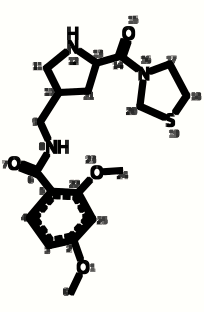 COc1ccc(C(=O)NCC2CNC(C(=O)N3CCSC3)C2)c(OC)c1